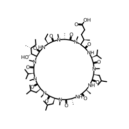 CC[C@@H]1NC(=O)[C@H]([C@H](O)[C@H](C)CC)N(C)C(=O)[C@H](C(C)C)N(C)C(=O)[C@H](CC(C)C)N(C)C(=O)[C@H](CC(C)C)N(C)C(=O)[C@@H](C)NC(=O)[C@H](C)NC(=O)[C@H](CC(C)C)N(C)C(=O)[C@H](C(C)C)NC(=O)[C@H]([C@H](C)CCC(=O)O)N(C)C(=O)[C@@H](C)N(C)C1=O